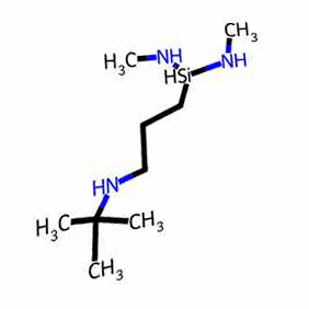 CN[SiH](CCCNC(C)(C)C)NC